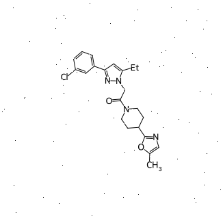 CCc1cc(-c2cccc(Cl)c2)nn1CC(=O)N1CCC(c2ncc(C)o2)CC1